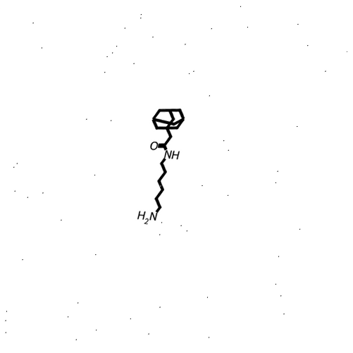 NCCCCCCNC(=O)CC12CC3CC(CC(C3)C1)C2